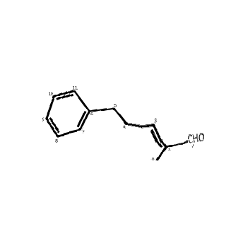 CC(C=O)=CCCc1ccccc1